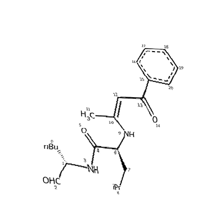 CCCC[C@@H](C=O)NC(=O)[C@H](CC(C)C)NC(C)=CC(=O)c1ccccc1